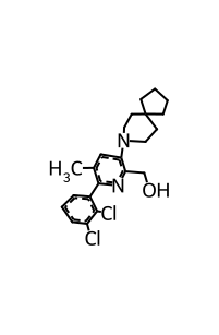 Cc1cc(N2CCC3(CCCC3)CC2)c(CO)nc1-c1cccc(Cl)c1Cl